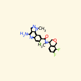 CN(C(=O)c1cc2c(cc1F)nc(N)c1cnn(C)c12)[C@H]1COCc2c1ccc(F)c2F